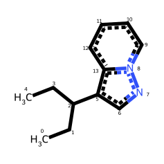 CCC(CC)c1cnn2ccccc12